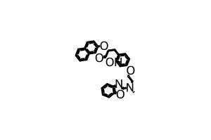 CN(CCOc1ccc(CC(Oc2ccc3ccccc3c2)C(=O)O)cc1)c1nc2ccccc2o1